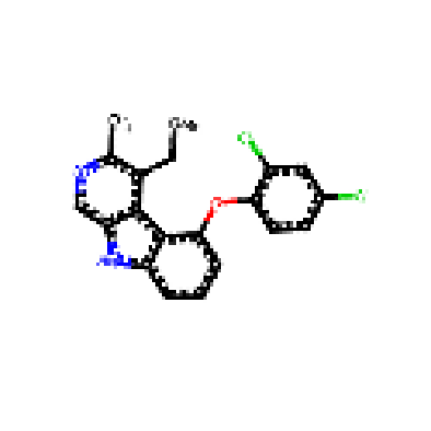 COCc1c(C)ncc2[nH]c3cccc(Oc4ccc(Cl)cc4Cl)c3c12